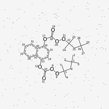 CC(C)(C)CC(C)(C)OOC(=O)Oc1ccc(OC(=O)OOC(C)(C)CC(C)(C)C)c2ccccc12